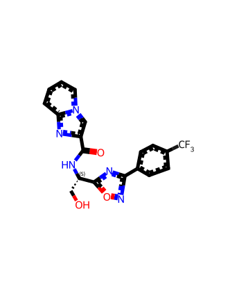 O=C(N[C@@H](CO)c1nc(-c2ccc(C(F)(F)F)cc2)no1)c1cn2ccccc2n1